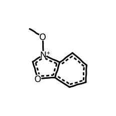 CO[n+]1coc2ccccc21